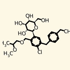 CCc1ccc(Cc2cc([C@@H]3O[C@H](CO)[C@@H](O)[C@H](O)[C@H]3O)c(COCC(C)OC)cc2Cl)cc1